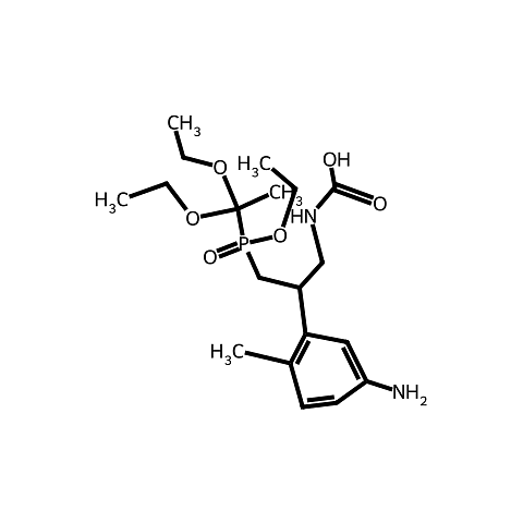 CCOC(C)(OCC)P(=O)(CC(CNC(=O)O)c1cc(N)ccc1C)OCC